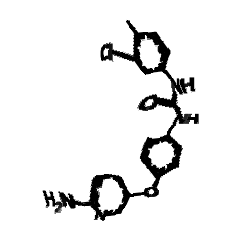 Cc1ccc(NC(=O)Nc2ccc(Oc3ccc(N)nc3)cc2)cc1Cl